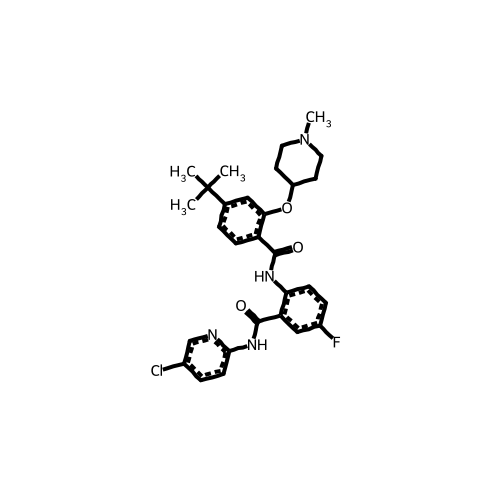 CN1CCC(Oc2cc(C(C)(C)C)ccc2C(=O)Nc2ccc(F)cc2C(=O)Nc2ccc(Cl)cn2)CC1